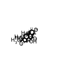 CC(=O)[C@@]1(O)CC[C@H]2[C@@H]3[C@H](O)C(=O)C4=CC(=O)CC[C@]4(C)[C@H]3CC[C@@]21C